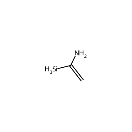 C=C(N)[SiH3]